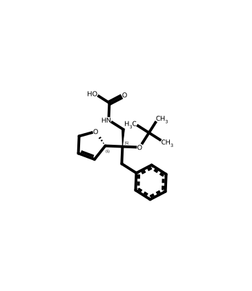 CC(C)(C)O[C@](CNC(=O)O)(Cc1ccccc1)[C@@H]1C=CCO1